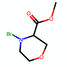 COC(=O)C1COCCN1Br